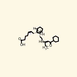 CCC(=CC(=O)C1CCCCC1)NCC[C@@H]1[C@H](C/C=C\CCCC(=O)O)[C@@H]2CC[C@H]1O2